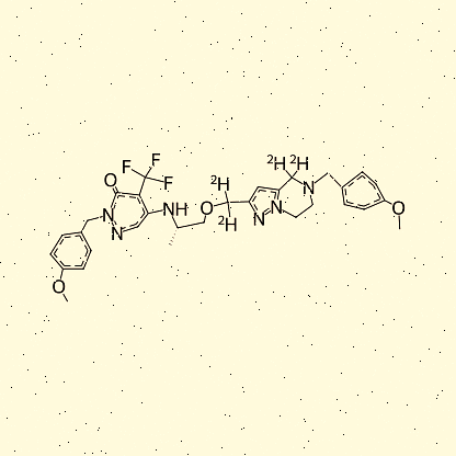 [2H]C([2H])(OC[C@H](C)Nc1cnn(Cc2ccc(OC)cc2)c(=O)c1C(F)(F)F)c1cc2n(n1)CCN(Cc1ccc(OC)cc1)C2([2H])[2H]